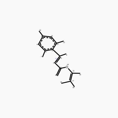 C=C(/C=C(\C)c1c(C)cc(C)cc1C)OC(C)=C(C)C